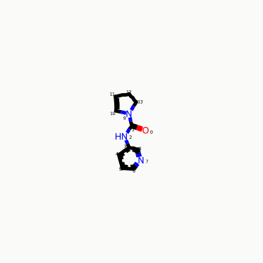 O=C(Nc1cccnc1)N1C=CCC1